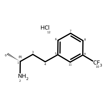 C[C@@H](N)CCc1cccc(C(F)(F)F)c1.Cl